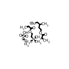 C=CC(=O)OCCC(C)CC(C)(C)C.C=CC(=O)OCC[N+](C)(C)C.COS(=O)(=O)O